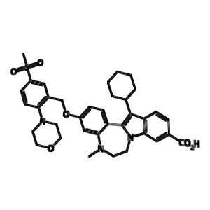 CN1CCn2c(c(C3CCCCC3)c3ccc(C(=O)O)cc32)-c2ccc(OCc3cc(S(C)(=O)=O)ccc3N3CCOCC3)cc21